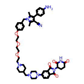 Cc1c(C#N)c(-c2ccc(N)cc2)c(C)n1Cc1ccc(OCCOCCOCCN2CCC(CN3CCN(c4ccc5c(c4)C(=O)N(C4CCC(=O)NC4=O)C5=O)CC3)CC2)cc1